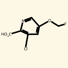 O=C(O)c1ncc(OCF)cc1Cl